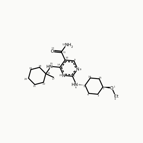 CCO[C@H]1CC[C@H](Nc2ncc(C(N)=O)c(NC3(C)CCCCC3)n2)CC1